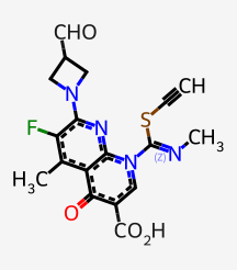 C#CS/C(=N\C)n1cc(C(=O)O)c(=O)c2c(C)c(F)c(N3CC(C=O)C3)nc21